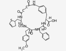 COc1ccc(C[C@@H]2NC(=O)[C@@H](CC3CC=CS3)NC(=O)CCC(=O)Nc3ccc(cc3)C[C@@H](C(=O)O)NC(=O)[C@@H](Cc3ccccc3)NC2=O)cc1